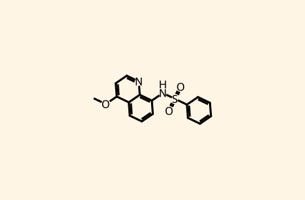 COc1ccnc2c(NS(=O)(=O)c3ccccc3)cccc12